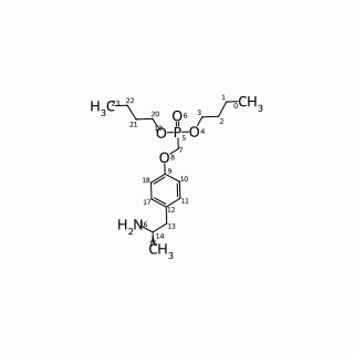 CCCCOP(=O)(COc1ccc(C[C@@H](C)N)cc1)OCCCC